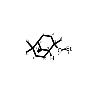 C=C1C2CCC(C)(OCC)[C@@H]1CCC2(C)C